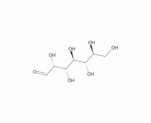 O=C[C@H](O)[C@@H](O)[C@@H](O)[C@@H](O)[C@@H](O)CO